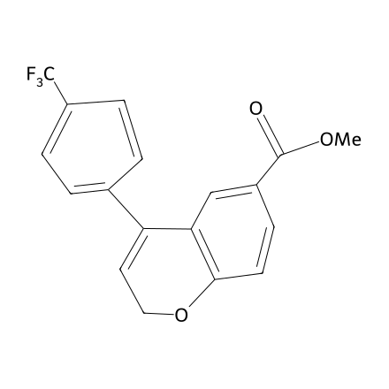 COC(=O)c1ccc2c(c1)C(c1ccc(C(F)(F)F)cc1)=CCO2